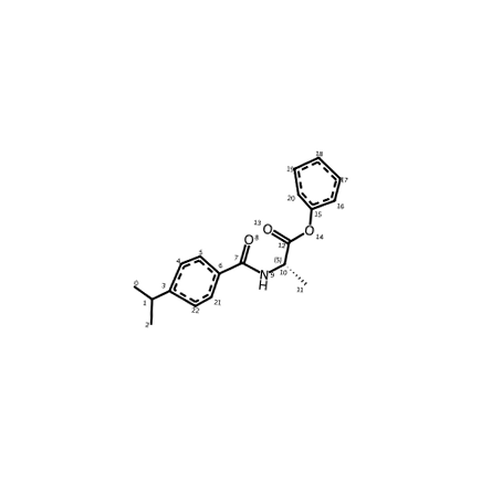 CC(C)c1ccc(C(=O)N[C@@H](C)C(=O)Oc2ccccc2)cc1